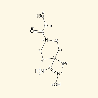 CC(C)C1(/C(N)=N/O)CCN(C(=O)OC(C)(C)C)CC1